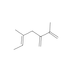 C=C(C)C(=C)CC(C)=CC